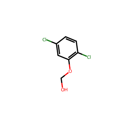 OCOc1cc(Cl)ccc1Cl